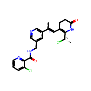 C/C(=C\C1=C([C@H](C)Cl)NC(=O)CC1)c1cncc(CNC(=O)c2ncccc2Cl)c1